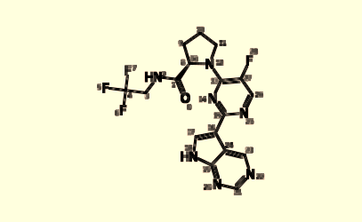 O=C(NCC(F)(F)F)[C@H]1CCCN1c1nc(-c2c[nH]c3ncncc23)ncc1F